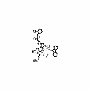 CC(C)CN(NC(=O)C(CCCNC(=O)OCc1ccccc1Cl)NC(=O)OCC1c2ccccc2-c2ccccc21)C(=O)N(C(COC(C)(C)C)C(=O)O)C(C)(C)C